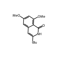 COc1cc(OC)c2c(=O)[nH]c(C(C)(C)C)cc2c1